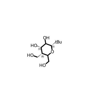 CC(C)(C)[C@@H]1OC(CO)[C@H](CO)[C@H](O)C1O